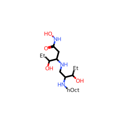 CCCCCCCCNC(CNC(CC(=O)NO)C(O)CC)C(O)CC